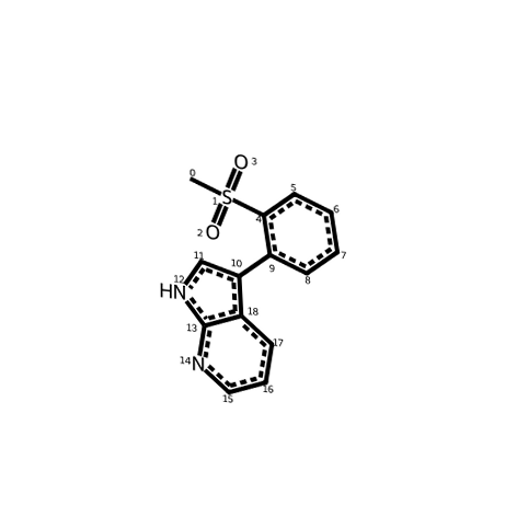 CS(=O)(=O)c1ccccc1-c1c[nH]c2ncccc12